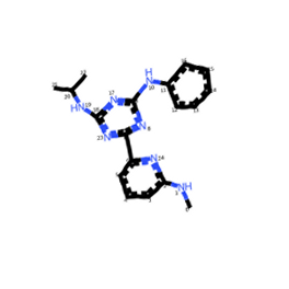 CNc1cccc(-c2nc(Nc3ccccc3)nc(NC(C)C)n2)n1